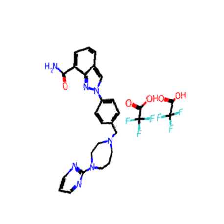 NC(=O)c1cccc2cn(-c3ccc(CN4CCCN(c5ncccn5)CC4)cc3)nc12.O=C(O)C(F)(F)F.O=C(O)C(F)(F)F